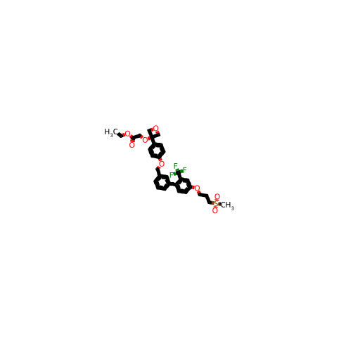 CCOC(=O)COC1(c2ccc(OCc3cccc(-c4ccc(OCCCS(C)(=O)=O)cc4C(F)(F)F)c3)cc2)COC1